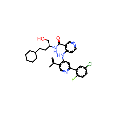 C=C(C)c1cnc(-c2cc(Cl)ccc2F)cc1Nc1ccncc1C(=O)N[C@H](CO)CCC1CCCCC1